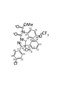 COC(=O)N(C(=O)N1CC(C)(c2ccccc2)C(c2ccc(Cl)cc2)=N1)c1ccc(OC(F)(F)F)cc1